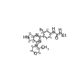 CCNC(=O)Nc1ccc(-c2nc3c(c(N4CCOCC4C)n2)CNC3)c(F)c1